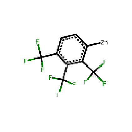 FC(F)(F)c1cc[c]([Zn])c(C(F)(F)F)c1C(F)(F)F